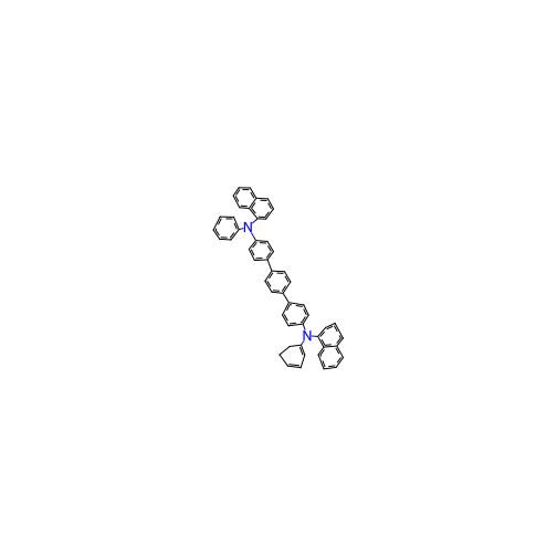 C1=CCCC(N(c2ccc(-c3ccc(-c4ccc(N(c5ccccc5)c5cccc6ccccc56)cc4)cc3)cc2)c2cccc3ccccc23)=C1